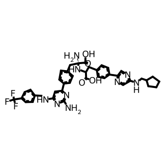 Nc1nc(NCc2ccc(C(F)(F)F)cc2)cc(-c2ccc(C[C@](N)(NC(Cc3ccc(-c4cnc(NCC5CCCC5)cn4)cc3)C(=O)O)C(=O)O)cc2)n1